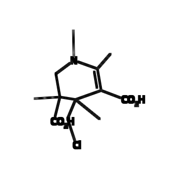 CC1=C(C(=O)O)C(C)(CCl)C(C)(C(=O)O)CN1C